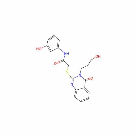 O=C(CSc1nc2ccccc2c(=O)n1CCCO)Nc1cccc(O)c1